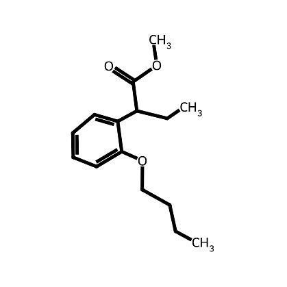 CCCCOc1ccccc1C(CC)C(=O)OC